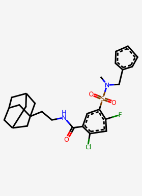 CN(Cc1ccccc1)S(=O)(=O)c1cc(C(=O)NCCC23CC4CC(CC(C4)C2)C3)c(Cl)cc1F